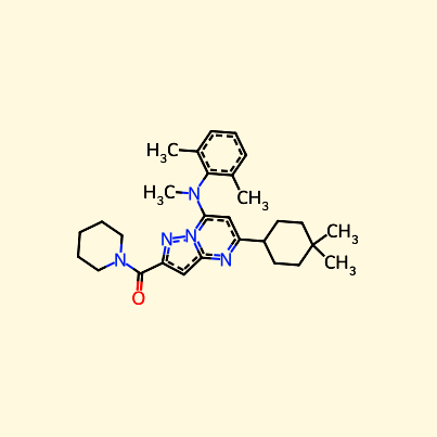 Cc1cccc(C)c1N(C)c1cc(C2CCC(C)(C)CC2)nc2cc(C(=O)N3CCCCC3)nn12